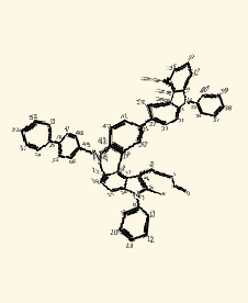 C=C/C=C\c1c(C)n(-c2ccccc2)c2ccc3c(c4cc(-c5ccc6c(c5)c5ccccc5n6-c5ccccc5)ccc4n3-c3ccc(-c4ccccc4)cc3)c12